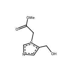 COC(=O)Cn1cncc1CO